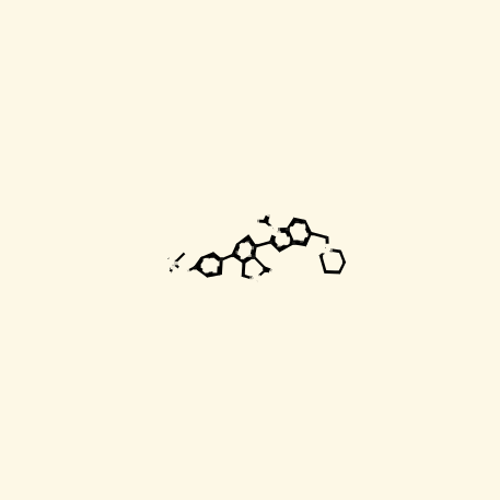 CC(C)(C)OC(=O)n1c(-c2ccc(-c3ccc(O[Si](C)(C)C(C)(C)C)cc3)c3c2C(=O)NC3)cc2cc(CN3CCCCC3)ccc21